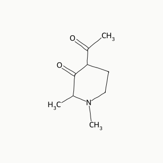 CC(=O)C1CCN(C)C(C)C1=O